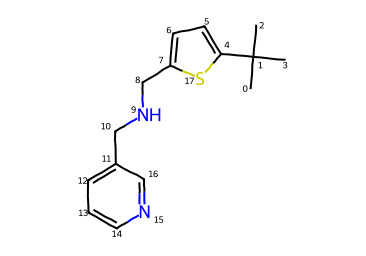 CC(C)(C)c1ccc(CNCc2cccnc2)s1